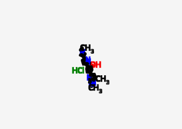 CCN1CC(c2ccc(-c3ccc(-c4cc(C)c5nn(C)cc5n4)cc3O)nn2)C1.Cl